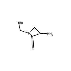 CC(C)(C)CN1CC(N)C1=O